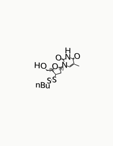 CCCCSSC1C[C@H](n2cc(C)c(=O)[nH]c2=O)O[C@@H]1CO